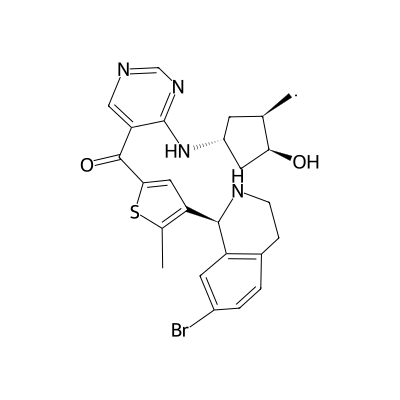 [CH2][C@@H]1C[C@@H](Nc2ncncc2C(=O)c2cc([C@H]3NCCc4ccc(Br)cc43)c(C)s2)C[C@@H]1O